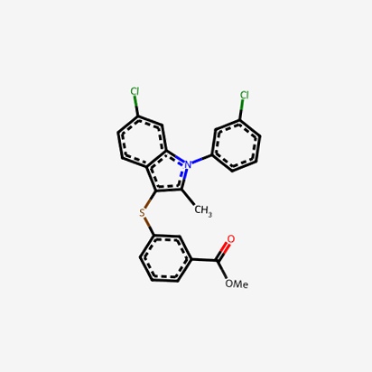 COC(=O)c1cccc(Sc2c(C)n(-c3cccc(Cl)c3)c3cc(Cl)ccc23)c1